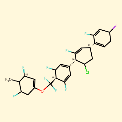 FC1=CC(I)CC=C1[C@H]1C=C(F)[C@@H](C2=CC(F)[C@H](C(F)(F)OC3=C[C@H](F)C(C(F)(F)F)C(F)C3)C(F)=C2)C(Cl)C1